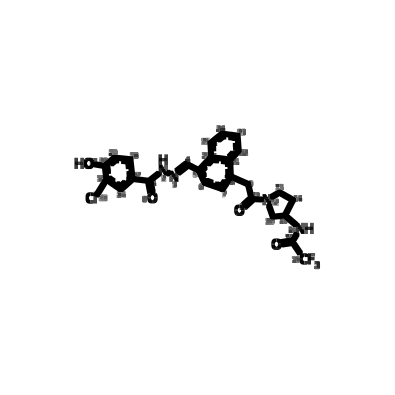 O=C(N/N=C/c1ccc(CC(=O)N2CCC(NC(=O)C(F)(F)F)C2)c2ccccc12)c1ccc(O)c(Cl)c1